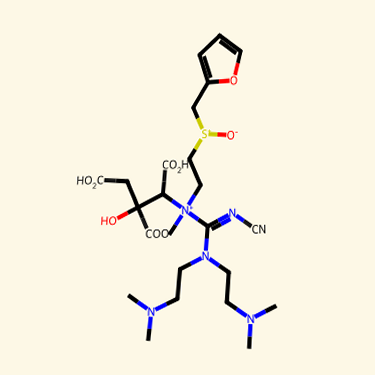 CN(C)CCN(CCN(C)C)C(=NC#N)[N+](C)(CC[S+]([O-])Cc1ccco1)C(C(=O)O)C(O)(CC(=O)O)C(=O)[O-]